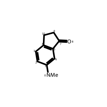 CNc1ccc2c(c1)C(=O)CC2